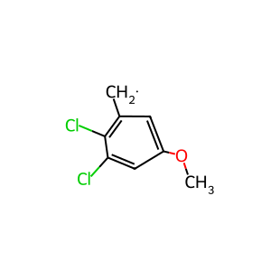 [CH2]c1cc(OC)cc(Cl)c1Cl